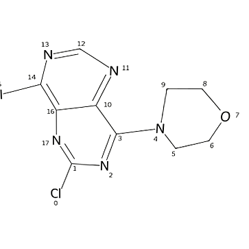 Clc1nc(N2CCOCC2)c2ncnc(Cl)c2n1